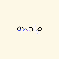 NC(CC(=O)N1CCC(Nc2ncnc3ccccc23)CC1)Cc1ccccc1